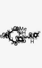 CO[C@H]1/C=C\C=C(/C)C(=O)NC2=CC(=O)C(NCCCC(=O)Nc3ccc(C)cc3)=C(C[C@@H](C)C[C@H](OC)[C@H](O)[C@@H](C)/C=C(\C)[C@@H]1OC(N)=O)C2=O